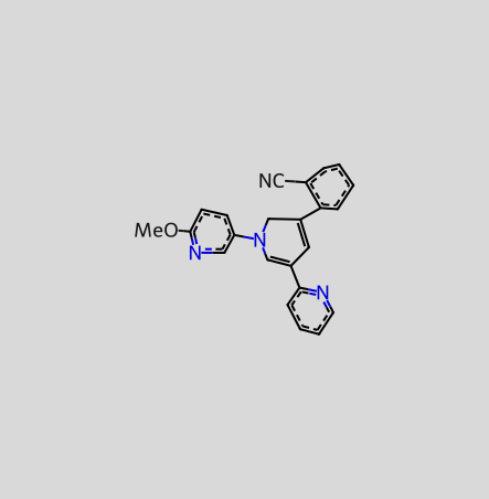 COc1ccc(N2C=C(c3ccccn3)C=C(c3ccccc3C#N)C2)cn1